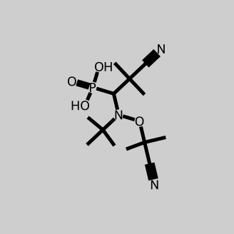 CC(C)(C#N)ON(C(C(C)(C)C#N)P(=O)(O)O)C(C)(C)C